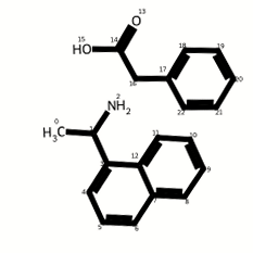 CC(N)c1cccc2ccccc12.O=C(O)Cc1ccccc1